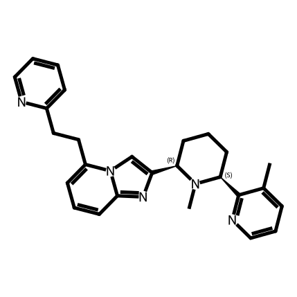 Cc1cccnc1[C@@H]1CCC[C@H](c2cn3c(CCc4ccccn4)cccc3n2)N1C